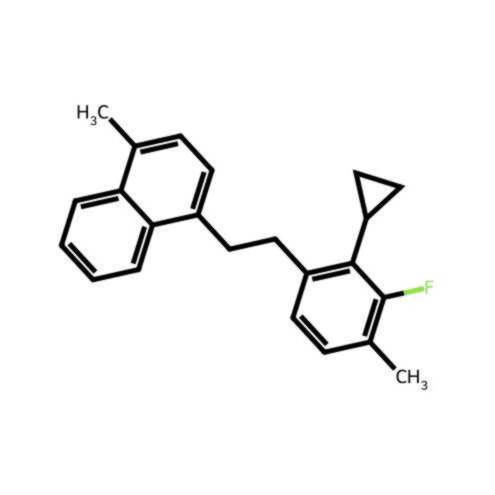 Cc1ccc(CCc2ccc(C)c3ccccc23)c(C2CC2)c1F